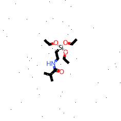 CCO[Si](CCNC(=O)C(C)C)(OCC)OCC